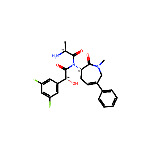 C[C@H](N)C(=O)N(C(=O)[C@H](O)c1cc(F)cc(F)c1)[C@H]1CC=C(c2ccccc2)CN(C)C1=O